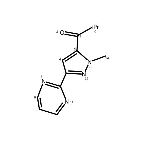 CC(C)C(=O)c1cc(-c2ncccn2)nn1C